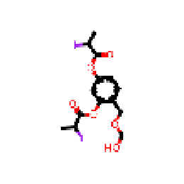 CC(I)C(=O)Oc1ccc(COCO)c(OC(=O)C(C)I)c1